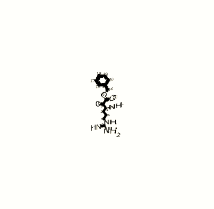 [NH][C@@H](CCCNC(=N)N)C(=O)C(=O)OCc1ccccc1